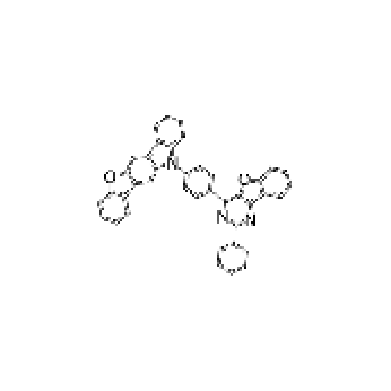 c1ccc(-c2nc(-c3ccc(-n4c5ccccc5c5cc6oc7ccccc7c6cc54)cc3)c3oc4ccccc4c3n2)cc1